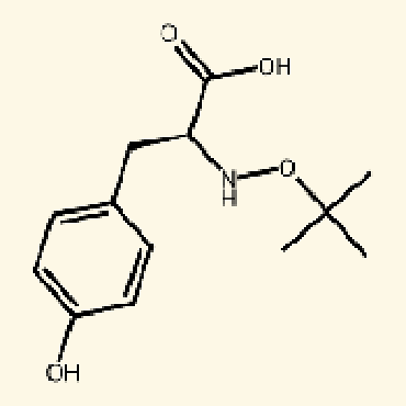 CC(C)(C)ON[C@@H](Cc1ccc(O)cc1)C(=O)O